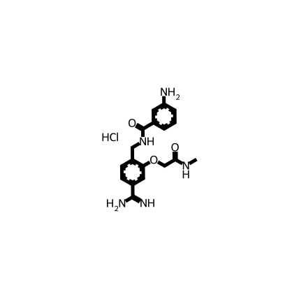 CNC(=O)COc1cc(C(=N)N)ccc1CNC(=O)c1cccc(N)c1.Cl